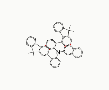 CC1(C)c2ccccc2-c2ccc(-c3ccccc3N(c3ccc4ccccc4c3)c3ccccc3-c3cccc4c3-c3ccccc3C4(C)C)cc21